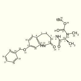 C[C@@H](C(=O)N[C@H]1CCc2ccc(OCc3ccccc3)cc2NC1=O)N(C)C(=O)OC(C)(C)C